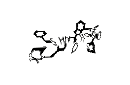 CN(c1cccc2cc(C(=O)NCC(CN3CCOC(F)(F)C3)SCc3ccccc3)[nH]c12)S(=O)(=O)c1cccs1